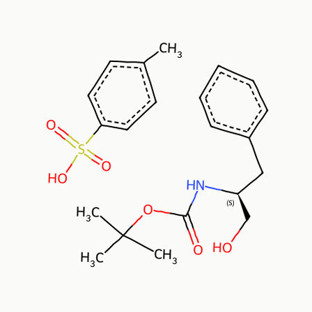 CC(C)(C)OC(=O)N[C@H](CO)Cc1ccccc1.Cc1ccc(S(=O)(=O)O)cc1